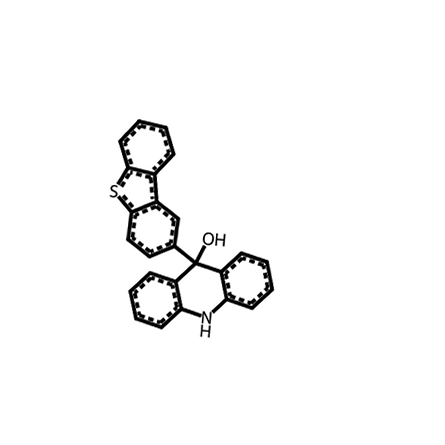 OC1(c2ccc3sc4ccccc4c3c2)c2ccccc2Nc2ccccc21